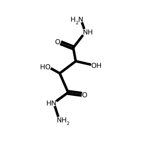 NNC(=O)C(O)C(O)C(=O)NN